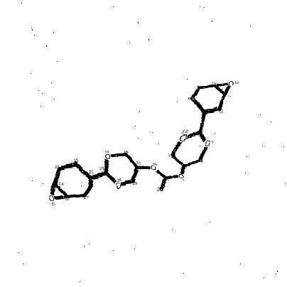 CC(OC1COC(C2CCC3OC3C2)OC1)OC1COC(C2CCC3OC3C2)OC1